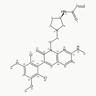 C=CC(=O)N[C@@H]1CCN(CCn2c(=O)c(-c3c(Cl)c(OC)cc(OC)c3Cl)cc3cnc(NC)nc32)C1